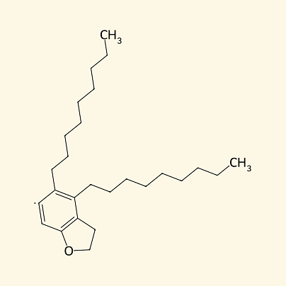 CCCCCCCCCc1[c]cc2c(c1CCCCCCCCC)CCO2